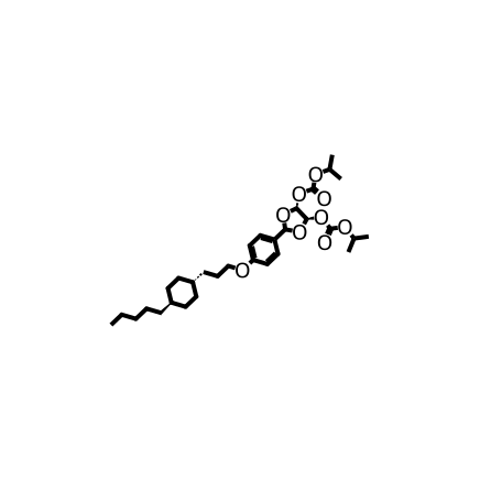 CCCCC[C@H]1CC[C@H](CCCOc2ccc(C3O[C@H](OC(=O)OC(C)C)[C@@H](OC(=O)OC(C)C)O3)cc2)CC1